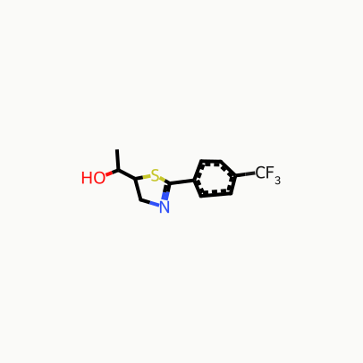 CC(O)C1CN=C(c2ccc(C(F)(F)F)cc2)S1